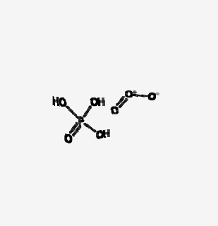 O=P(O)(O)O.O=[O+][O-]